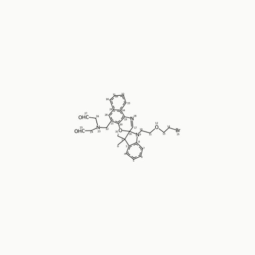 CC1(C)c2ccccc2N(CCOCCBr)C12C=Nc1c(c(CN(CC=O)CC=O)cc3ccccc13)O2